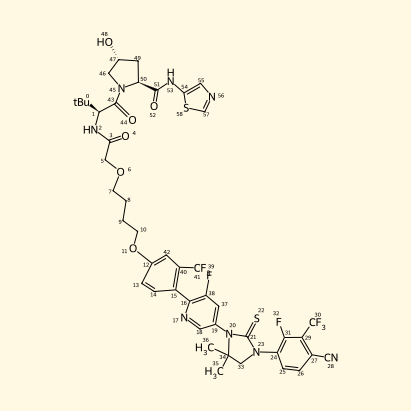 CC(C)(C)[C@H](NC(=O)COCCCCOc1ccc(-c2ncc(N3C(=S)N(c4ccc(C#N)c(C(F)(F)F)c4F)CC3(C)C)cc2F)c(C(F)(F)F)c1)C(=O)N1C[C@H](O)C[C@H]1C(=O)Nc1cncs1